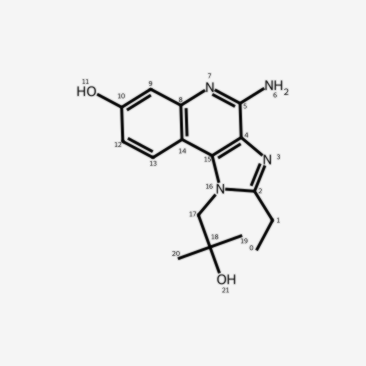 CCc1nc2c(N)nc3cc(O)ccc3c2n1CC(C)(C)O